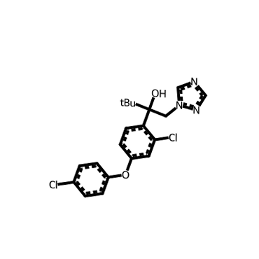 CC(C)(C)C(O)(Cn1cncn1)c1ccc(Oc2ccc(Cl)cc2)cc1Cl